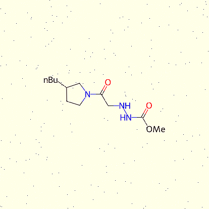 CCCCC1CCN(C(=O)CNNC(=O)OC)C1